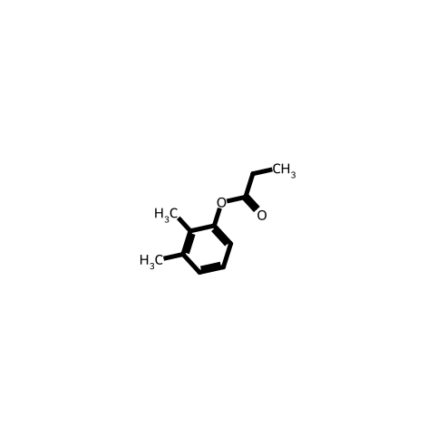 CCC(=O)Oc1cccc(C)c1C